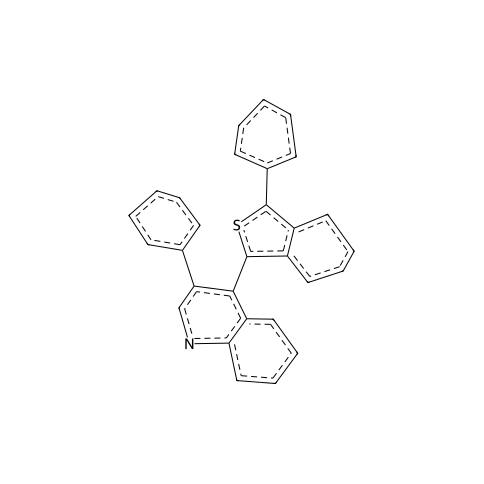 c1ccc(-c2cnc3ccccc3c2-c2sc(-c3ccccc3)c3ccccc23)cc1